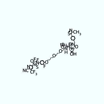 Cc1ncsc1-c1ccc(CNC(=O)[C@@H]2C[C@@H](O)CN2C(=O)[C@@H](NC(=O)COCCCOCCCCOc2ccc(N3C(=S)N(c4cnc(C#N)c(C(F)(F)F)c4)C(=O)C3(F)F)cc2F)C(C)(C)C)cc1